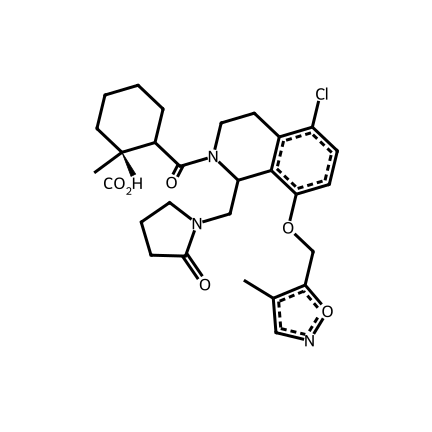 Cc1cnoc1COc1ccc(Cl)c2c1C(CN1CCCC1=O)N(C(=O)C1CCCC[C@]1(C)C(=O)O)CC2